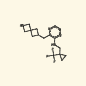 FC(F)(F)C1(CNc2nccnc2CC2CC3(CNC3)C2)CC1